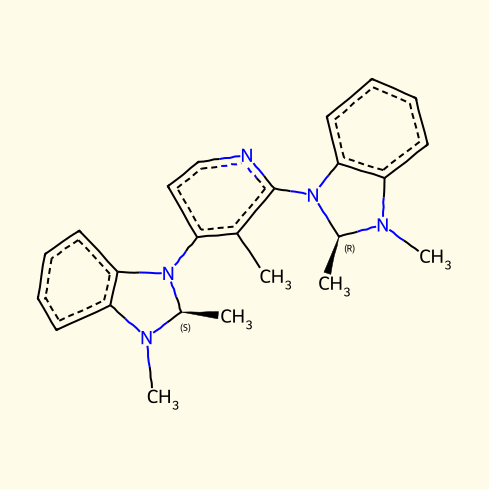 Cc1c(N2c3ccccc3N(C)[C@@H]2C)ccnc1N1c2ccccc2N(C)[C@H]1C